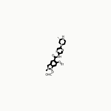 CCOc1cc2c(cc1C(=O)Nc1cnc(N3CCN[C@@H](C)C3)cn1)CN(C)N2OC=O